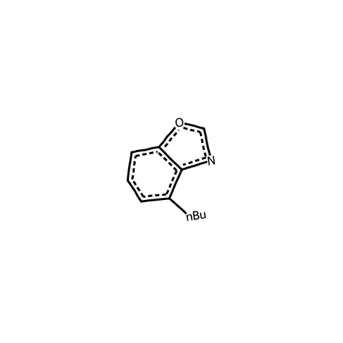 [CH2]CCCc1cccc2ocnc12